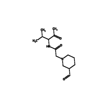 CC(=O)C(NC(=O)CN1CCCC(C=O)C1)C(C)C